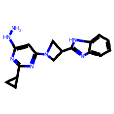 NNc1cc(N2CC(c3nc4ccccc4[nH]3)C2)nc(C2CC2)n1